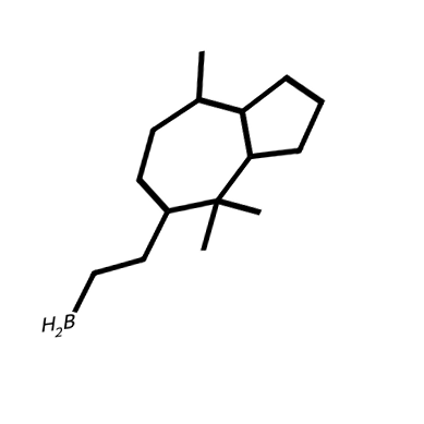 BCCC1CCC(C)C2CCCC2C1(C)C